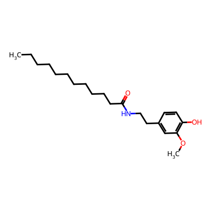 CCCCCCCCCCCC(=O)NCCc1ccc(O)c(OC)c1